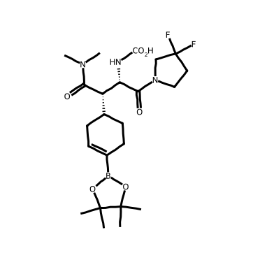 CN(C)C(=O)[C@@H](C1CC=C(B2OC(C)(C)C(C)(C)O2)CC1)[C@H](NC(=O)O)C(=O)N1CCC(F)(F)C1